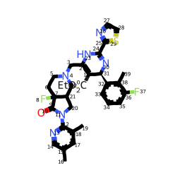 CCOC(=O)C1=C(CN2CCC3(F)C(=O)N(c4ncc(C)cc4C)CC3C2)NC(c2nccs2)=N[C@H]1c1cccc(F)c1C